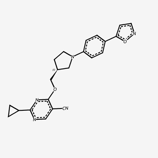 N#Cc1cnc(C2CC2)nc1OC[C@H]1CCN(c2ccc(-c3ccno3)cc2)C1